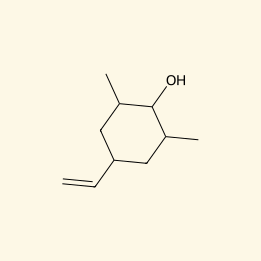 C=CC1CC(C)C(O)C(C)C1